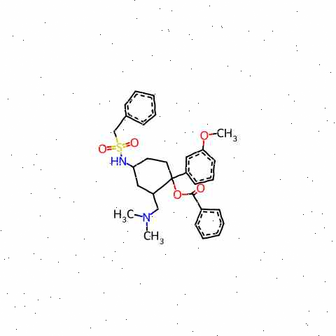 COc1cccc(C2(OC(=O)c3ccccc3)CCC(NS(=O)(=O)Cc3ccccc3)CC2CN(C)C)c1